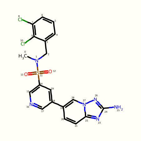 CN(Cc1cccc(Cl)c1Cl)S(=O)(=O)c1cncc(-c2ccc3nc(N)nn3c2)c1